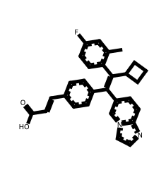 Cc1cc(F)ccc1/C(=C(\c1ccc(/C=C/C(=O)O)cc1)c1ccc2nccn2c1)C1CCC1